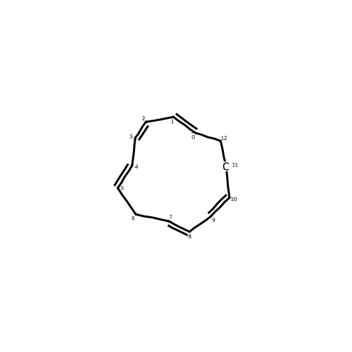 [C]1=C/C=C\C=C\C/C=C/C=C\CC/1